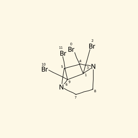 BrC1(Br)N2CCN(CC2)C1(Br)Br